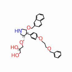 OC[C@H](O)COC[C@@H]1CNCC(OCc2ccc3ccccc3c2)[C@H]1c1ccc(OCCCOCc2ccccc2)cc1